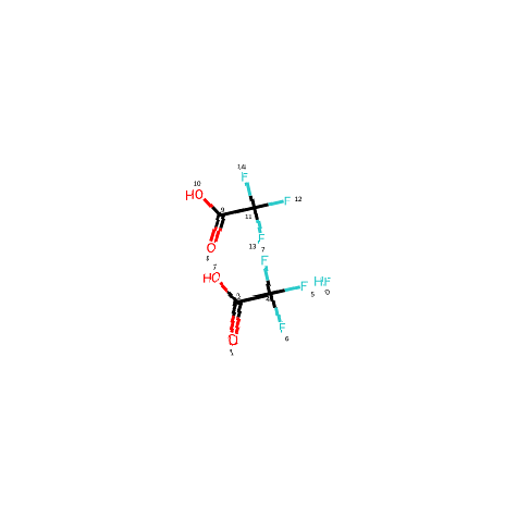 F.O=C(O)C(F)(F)F.O=C(O)C(F)(F)F